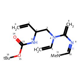 C=CC(CN(C=C)C(=C)/N=C\NC)NC(=O)OC(C)(C)C